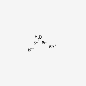 O.[Br-].[Br-].[Br-].[Rh+3]